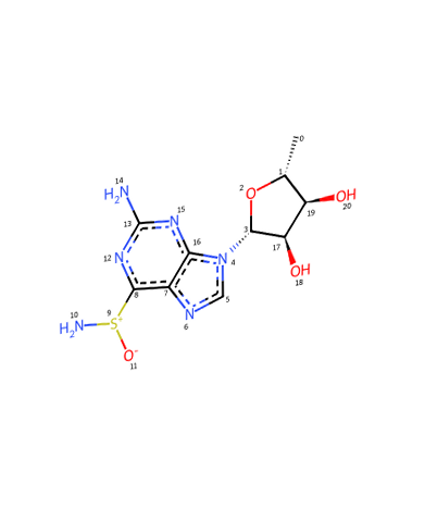 C[C@H]1O[C@@H](n2cnc3c([S+](N)[O-])nc(N)nc32)[C@H](O)[C@@H]1O